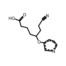 N#CCCC(CCCC(=O)O)Oc1cccnc1